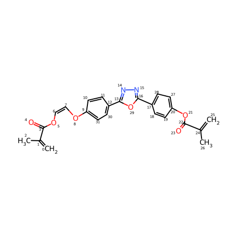 C=C(C)C(=O)O/C=C\Oc1ccc(-c2nnc(-c3ccc(OC(=O)C(=C)C)cc3)o2)cc1